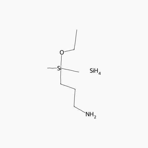 CCO[Si](C)(C)CCCN.[SiH4]